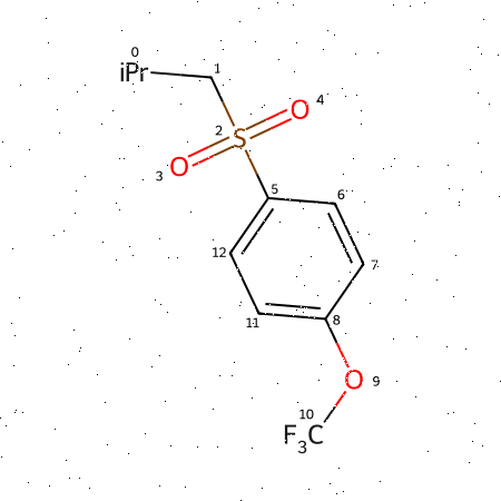 CC(C)CS(=O)(=O)c1ccc(OC(F)(F)F)cc1